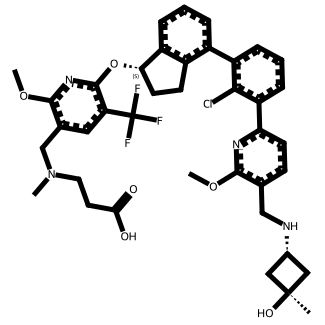 COc1nc(-c2cccc(-c3cccc4c3CC[C@@H]4Oc3nc(OC)c(CN(C)CCC(=O)O)cc3C(F)(F)F)c2Cl)ccc1CN[C@H]1C[C@](C)(O)C1